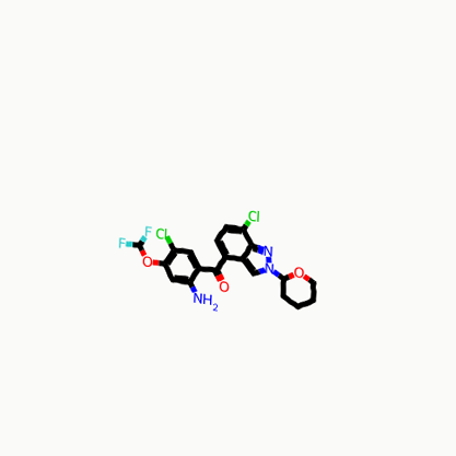 Nc1cc(OC(F)F)c(Cl)cc1C(=O)c1ccc(Cl)c2nn(C3CCCCO3)cc12